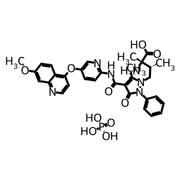 COc1ccc2c(Oc3ccc(NC(=O)c4c(C)n(C[C@@H](C)[C@](C)(N)C(=O)O)n(-c5ccccc5)c4=O)nc3)ccnc2c1.O=P(O)(O)O